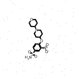 NS(=O)(=O)c1ccc(OC2CCN(C3CCOCC3)CC2)c([N+](=O)[O-])c1